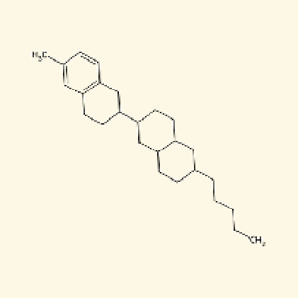 CCCCCC1CCC2CC(C3CCc4cc(C)ccc4C3)CCC2C1